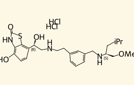 COC[C@H](CC(C)C)NCc1cccc(CCNC[C@H](O)c2ccc(O)c3[nH]c(=O)sc23)c1.Cl.Cl